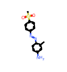 Cc1cc(N)ccc1N=Nc1ccc(S(C)(=O)=O)cc1